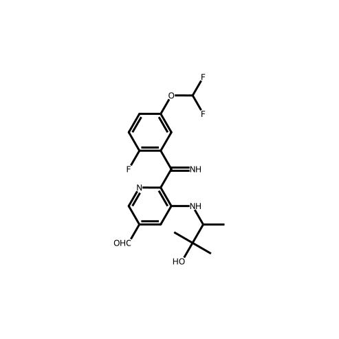 CC(Nc1cc(C=O)cnc1C(=N)c1cc(OC(F)F)ccc1F)C(C)(C)O